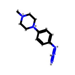 CN1CCN(c2ccc(N=[N+]=[N-])cc2)CC1